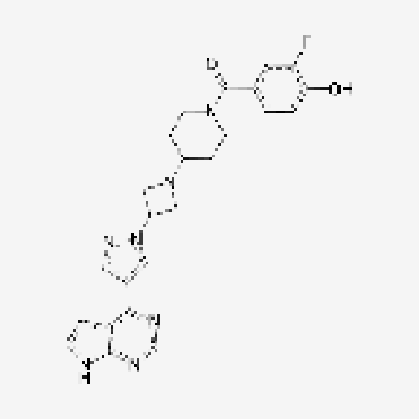 O=C(c1ccc(O)c(F)c1)N1CCC(N2C[C](n3cc(-c4ncnc5[nH]ccc45)cn3)C2)CC1